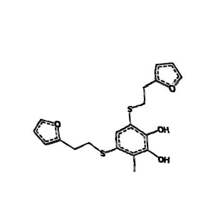 Cc1c(SCCc2ccco2)cc(SCCc2ccco2)c(O)c1O